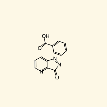 O=C(O)c1ccccc1.O=C1N=Nc2cccnc21